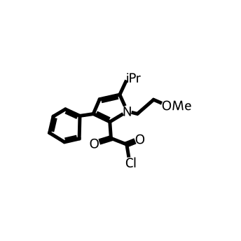 COCCn1c(C(C)C)cc(-c2ccccc2)c1C(=O)C(=O)Cl